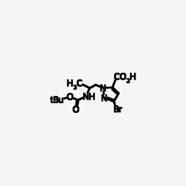 CC(Cn1nc(Br)cc1C(=O)O)NC(=O)OC(C)(C)C